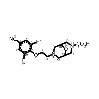 N#Cc1cc(F)c(OCCN2CC3CN(C(=O)O)CC(C2)O3)c(F)c1